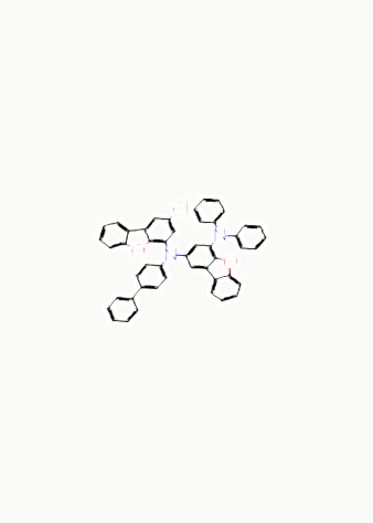 Clc1cc(N(c2ccc(-c3ccccc3)cc2)c2cc(N(c3ccccc3)c3ccccc3)c3oc4ccccc4c3c2)c2oc3ccccc3c2c1